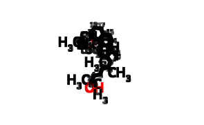 C[C@H](CCCC(C)(C)O)[C@H]1CC[C@H]2[C@@H]3CC=C4CCC=C(O[Si](C)(C)C(C)(C)C)[C@]4(C)[C@H]3CC[C@]12C